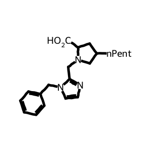 CCCCCC1CC(C(=O)O)N(Cc2nccn2Cc2ccccc2)C1